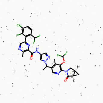 Cc1ncc(-c2c(C(F)F)ccc(Cl)c2F)nc1C(=O)Nc1cnn(C(C)c2cnc(N3C[C@H]4C[C@H]4C3=O)c(OC(F)F)c2C)c1